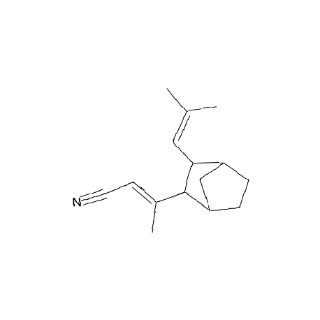 CC(C)=CC1C2CCC(C2)C1C(C)=CC#N